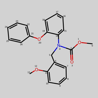 COC(=O)N(Cc1ccccc1OC)c1ccccc1Oc1ccccc1